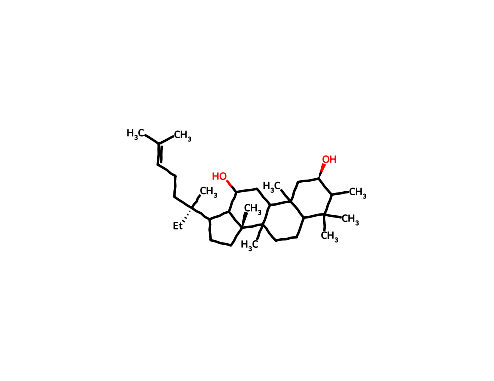 CC[C@@](C)(CCC=C(C)C)C1CC[C@]2(C)C1C(O)CC1C3(C)C[C@@H](O)C(C)C(C)(C)C3CCC12C